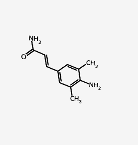 Cc1cc(C=CC(N)=O)cc(C)c1N